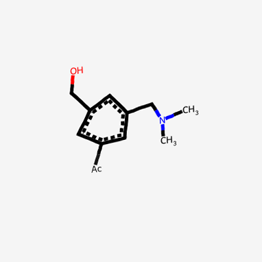 CC(=O)c1cc(CO)cc(CN(C)C)c1